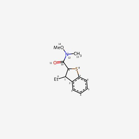 CCC1c2ccccc2SC1C(=O)N(C)OC